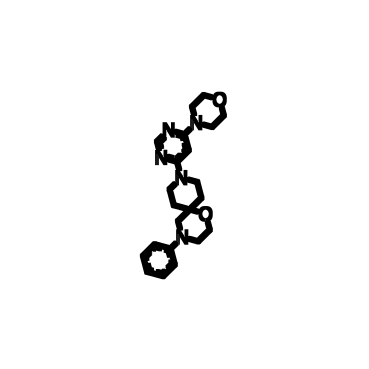 c1ccc(N2CCOC3(CCN(c4cc(N5CCOCC5)ncn4)CC3)C2)cc1